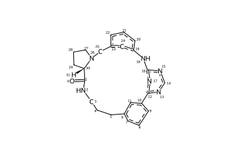 O=C1NCCCc2cccc(c2)-c2ncnc(n2)Nc2cccc(c2)CN2CCC[C@@H]12